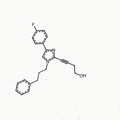 OCCC#Cc1nc(-c2ccc(F)cc2)cn1CCCc1ccccc1